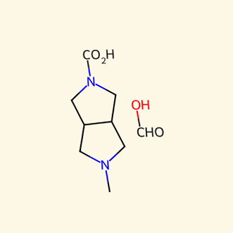 CN1CC2CN(C(=O)O)CC2C1.O=CO